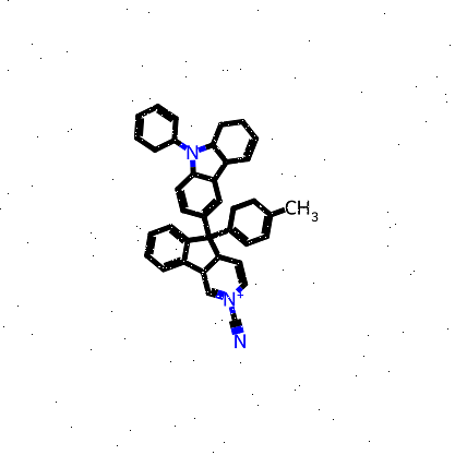 CC1=CC=C(C2(C3=CC4C5C=CCCC5N(C5C=CC=CC5)C4C=C3)c3ccccc3C3C=[N+](C#N)C=CC32)CC1